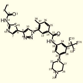 CCC(=O)Nc1ncc(-c2cn(-c3cc(C(=O)Nc4cc(N5CCN(C)CC5)cc(C(F)(F)F)c4)ccc3C)nn2)s1